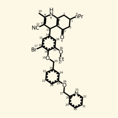 CCCC1CC(=O)C2=C(C1)NC(C)=C(C#N)C2c1cc(Br)c(OCc2cccc(OCc3ccccn3)c2)c(OCC)c1